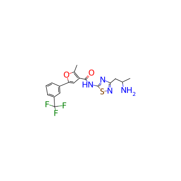 Cc1oc(-c2cccc(C(F)(F)F)c2)cc1C(=O)Nc1nc(CC(C)N)ns1